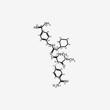 CN(C)C(=O)[C@H](Cc1ccc(C(=N)N)cc1)C(=O)N[C@H](C(=O)NCc1ccc(C(=N)N)cc1)C1CCCCC1